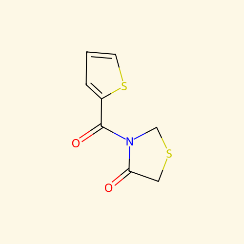 O=C1CSCN1C(=O)c1cccs1